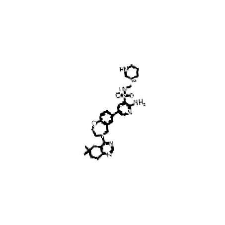 CC1(C)CCc2ncnc(N3CCOc4ccc(-c5cnc(N)c(S(=O)(=O)NC[C@H]6CCCNC6)c5)cc4C3)c2C1